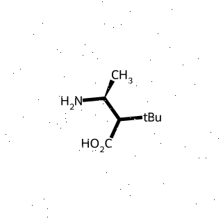 C[C@H](N)C(C(=O)O)C(C)(C)C